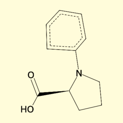 O=C(O)[C@@H]1CCCN1c1ccccc1